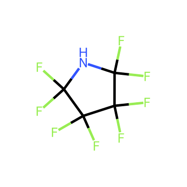 FC1(F)NC(F)(F)C(F)(F)C1(F)F